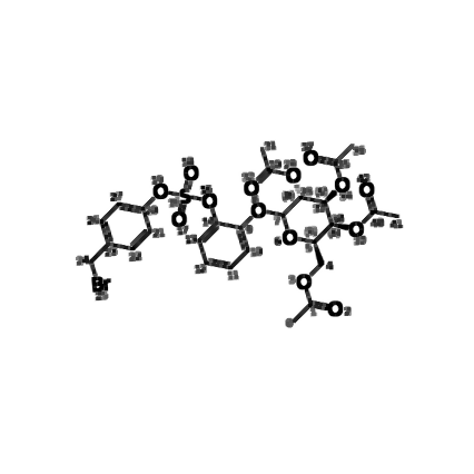 CC(=O)OC[C@H]1OC(Oc2ccccc2OS(=O)(=O)Oc2ccc(CBr)cc2)[C@H](OC(C)=O)[C@@H](OC(C)=O)[C@H]1OC(C)=O